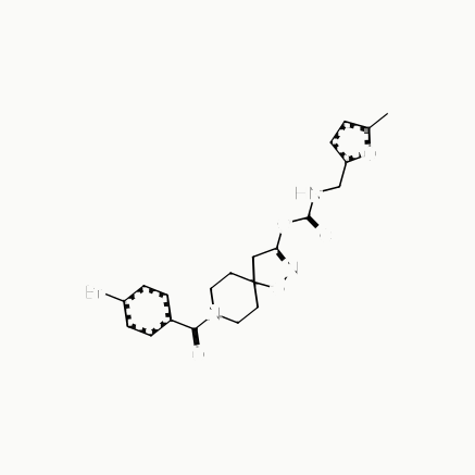 Cc1ccc(CNC(=O)OC2=NOC3(CCN(C(=O)c4ccc(Br)cc4)CC3)C2)o1